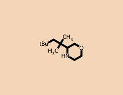 CC(C)(C)CC(C)(C)C1COCCN1